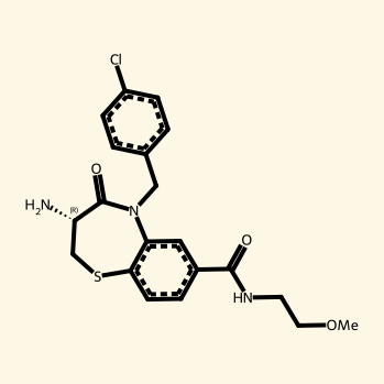 COCCNC(=O)c1ccc2c(c1)N(Cc1ccc(Cl)cc1)C(=O)[C@@H](N)CS2